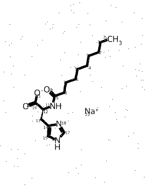 CCCCCCCCCC(=O)N[C@@H](Cc1c[nH]cn1)C(=O)[O-].[Na+]